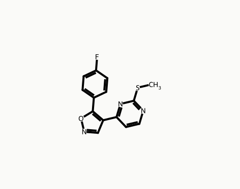 CSc1nccc(-c2cnoc2-c2ccc(F)cc2)n1